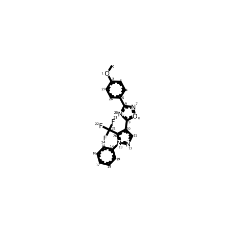 COc1ccc(-c2noc(-c3cnn(-c4ccccc4)c3C(F)(F)F)n2)cc1